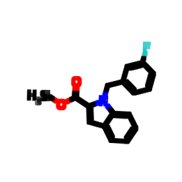 O=C(O[SiH3])c1cc2ccccc2n1Cc1cccc(F)c1